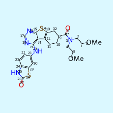 COCCN(CCOC)C(=O)C1CCc2c(sc3ncnc(Nc4ccc5[nH]c(=O)sc5c4)c23)C1